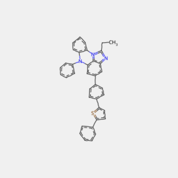 CCc1nc2cc(-c3ccc(-c4ccc(-c5ccccc5)s4)cc3)cc3c2n1-c1ccccc1N3c1ccccc1